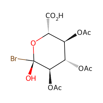 CC(=O)O[C@H]1[C@H](OC(C)=O)[C@@H](OC(C)=O)[C@](O)(Br)O[C@@H]1C(=O)O